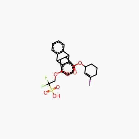 O=C(OCC(F)(F)S(=O)(=O)O)C1C2c3ccccc3C(c3ccccc32)C1C(=O)OC1C=C(I)CCC1